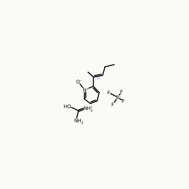 CC/C=C(\C)c1cccc[n+]1[O-].F[B-](F)(F)F.NC(=[NH2+])O